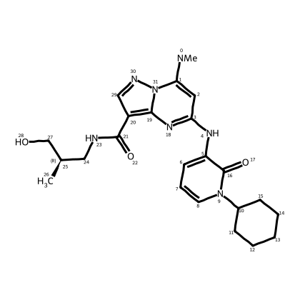 CNc1cc(Nc2cccn(C3CCCCC3)c2=O)nc2c(C(=O)NC[C@@H](C)CO)cnn12